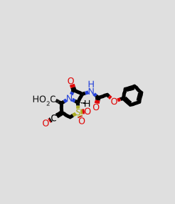 O=C=C1CS(=O)(=O)[C@@H]2C(NC(=O)COc3ccccc3)C(=O)N2C1C(=O)O